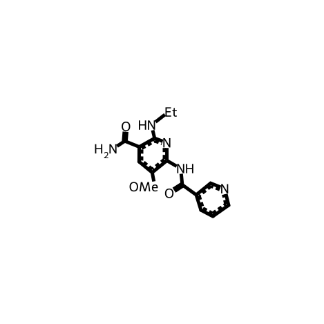 CCNc1nc(NC(=O)c2cccnc2)c(OC)cc1C(N)=O